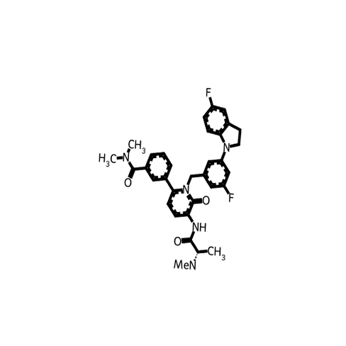 CN[C@@H](C)C(=O)Nc1ccc(-c2cccc(C(=O)N(C)C)c2)n(Cc2cc(F)cc(N3CCc4cc(F)ccc43)c2)c1=O